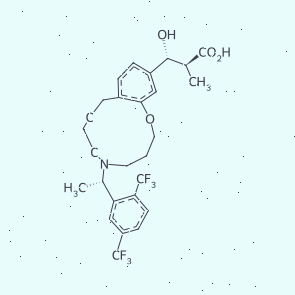 C[C@H](C(=O)O)[C@@H](O)c1ccc2c(c1)OCCCN([C@@H](C)c1cc(C(F)(F)F)ccc1C(F)(F)F)CCCC2